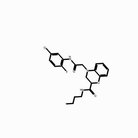 O=C(CN1CC(C(=O)NCCCI)Oc2ccccc21)Nc1cc(Cl)ccc1F